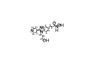 O=C(/C=C/c1ccc2c(c1)nc(-c1ccncc1)n2CCCO)NO